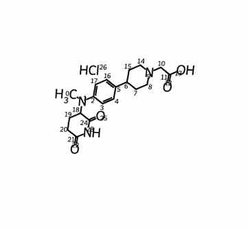 CN(c1ccc(C2CCN(CC(=O)O)CC2)cc1)C1CCC(=O)NC1=O.Cl